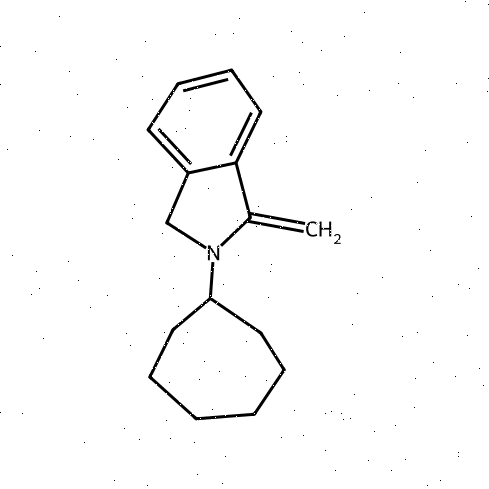 C=C1c2ccccc2CN1C1CCCCCC1